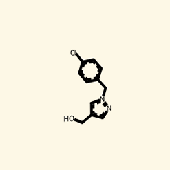 OCc1cnn(Cc2ccc(Cl)cc2)c1